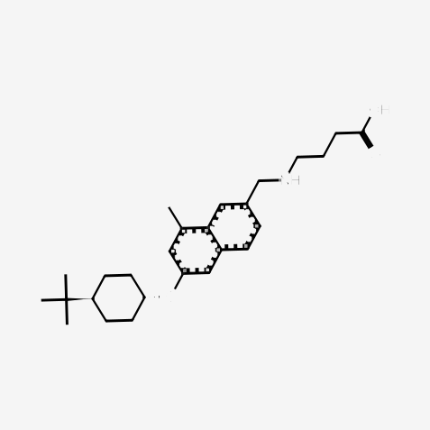 Cc1cc(O[C@H]2CC[C@H](C(C)(C)C)CC2)cc2ccc(CNCCCC(=O)O)cc12